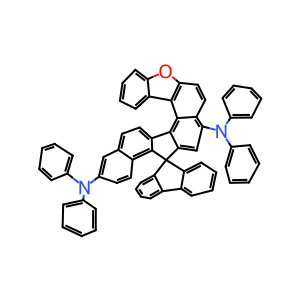 c1ccc(N(c2ccccc2)c2ccc3c4c(ccc3c2)-c2c(cc(N(c3ccccc3)c3ccccc3)c3ccc5oc6ccccc6c5c23)C42c3ccccc3-c3ccccc32)cc1